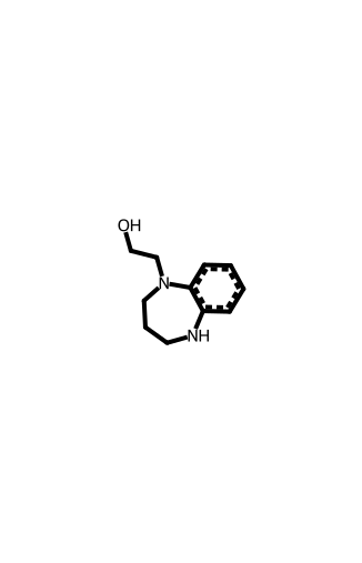 OCCN1CCCNc2ccccc21